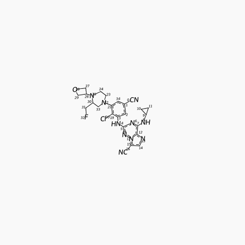 N#Cc1cc(Nc2nc(NC3CC3)c3ncc(C#N)n3n2)c(Cl)c(N2CCN(C3COC3)C(CF)C2)c1